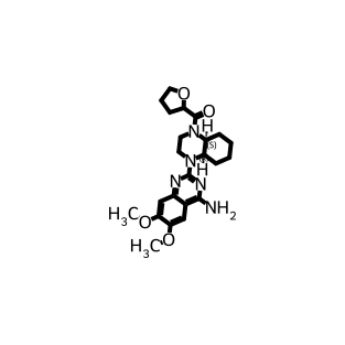 COc1cc2nc(N3CCN(C(=O)C4CCCO4)[C@H]4CCCC[C@H]43)nc(N)c2cc1OC